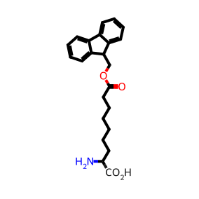 NC(CCCCCCC(=O)OCC1c2ccccc2-c2ccccc21)C(=O)O